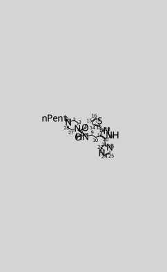 CCCCCN1CCN(S(=O)(=O)NCCc2c(-c3cccs3)n[nH]c2-c2cnccn2)CC1